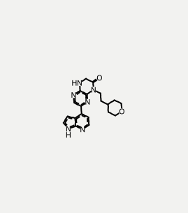 O=C1CNc2ncc(-c3ccnc4[nH]ccc34)nc2N1CCC1CCOCC1